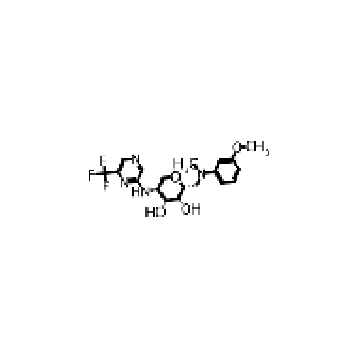 COc1cccc(N(C)C[C@H]2OC[C@H](Nc3cncc(C(F)(F)F)n3)[C@@H](O)[C@H]2O)c1